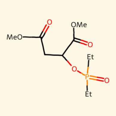 CCP(=O)(CC)OC(CC(=O)OC)C(=O)OC